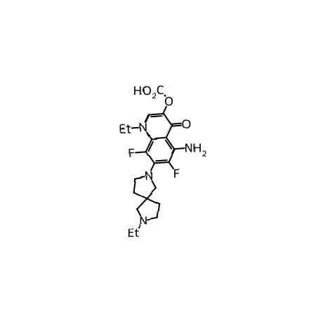 CCN1CCC2(CCN(c3c(F)c(N)c4c(=O)c(OC(=O)O)cn(CC)c4c3F)C2)C1